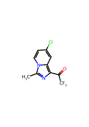 Cc1nc(C(=O)C(F)(F)F)c2cc(Cl)ccn12